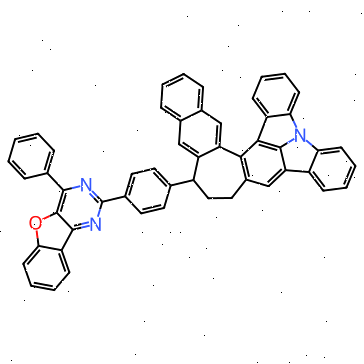 c1ccc(-c2nc(-c3ccc(C4CCc5cc6c7ccccc7n7c8ccccc8c(c5-c5cc8ccccc8cc54)c67)cc3)nc3c2oc2ccccc23)cc1